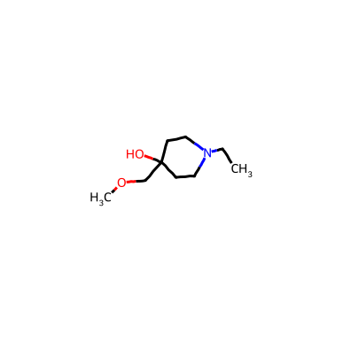 CCN1CCC(O)(COC)CC1